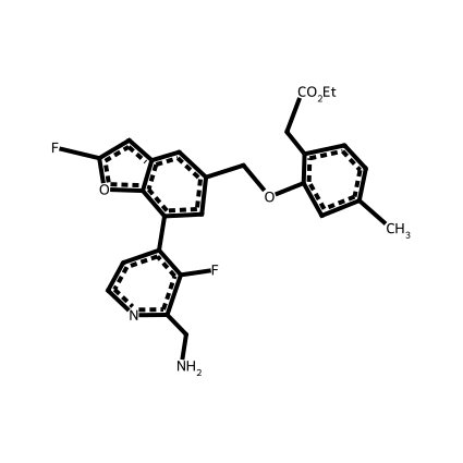 CCOC(=O)Cc1ccc(C)cc1OCc1cc(-c2ccnc(CN)c2F)c2oc(F)cc2c1